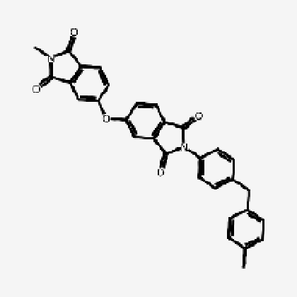 Cc1ccc(Cc2ccc(N3C(=O)c4ccc(Oc5ccc6c(c5)C(=O)N(C)C6=O)cc4C3=O)cc2)cc1